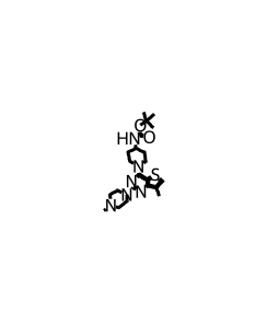 Cc1csc2c(N3CCC(NC(=O)OC(C)(C)C)CC3)nc(N3CCN(C)CC3)nc12